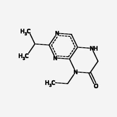 CCN1C(=O)CNc2cnc(C(C)C)nc21